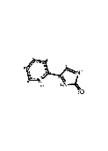 O=C1N=CC(c2ccccn2)=N1